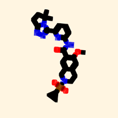 COc1cc2c(cc1C(=O)Nc1cccc(-c3nnc4n3C(C)(C)CC4)n1)CN(S(=O)(=O)C1CC1)CC2